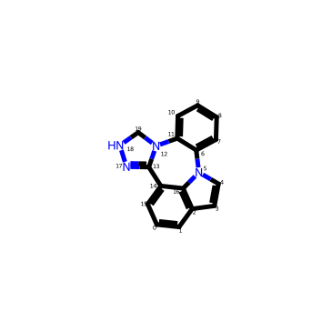 c1cc2ccn3c4ccccc4n4c(c(c1)c23)=NNC4